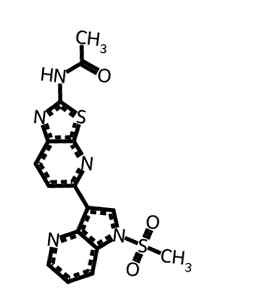 CC(=O)Nc1nc2ccc(-c3cn(S(C)(=O)=O)c4cccnc34)nc2s1